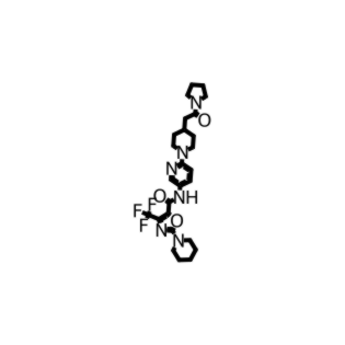 O=C(Nc1ccc(N2CCC(CC(=O)N3CCCC3)CC2)nc1)c1oc(N2CCCCC2)nc1C(F)(F)F